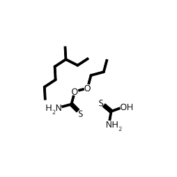 CCCCC(C)CC.CCCOOC(N)=S.NC(O)=S